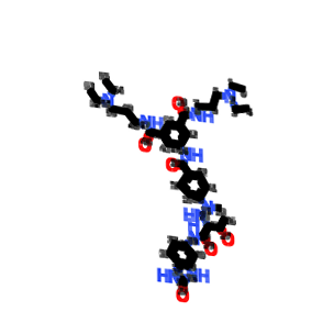 CCN(CC)CCCNC(=O)c1cc(NC(=O)c2ccc(N(C)NC(C(C)=O)C(=O)Nc3ccc4[nH]c(=O)[nH]c4c3)cc2)cc(C(=O)NCCCN(CC)CC)c1